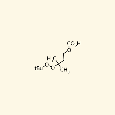 CC(C)(C)OOC(C)(C)CCOC(=O)O